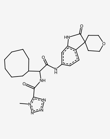 Cn1nnnc1C(=O)NC(C(=O)Nc1ccc2c(c1)NC(=O)C21CCOCC1)C1CCCCCCC1